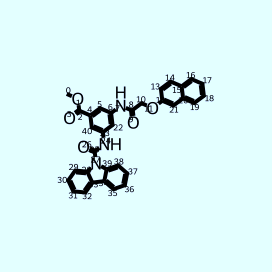 COC(=O)c1cc(NC(=O)COc2ccc3ccccc3c2)cc(NC(=O)n2c3ccccc3c3ccccc32)c1